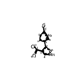 O=C(Cl)c1c[nH]nc1-c1ccc(Cl)cc1